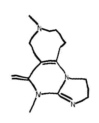 C=C1C2=C(CCN(C)C2)N2CCN=C2N1C